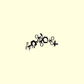 CCN1C(=O)N(c2ccc(C(F)(F)F)nc2)C(=O)C12CCN(C(=O)OC(C)(C)C)CC2